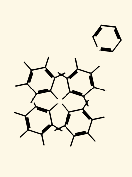 Fc1c(F)c(F)c([B-](c2c(F)c(F)c(F)c(F)c2F)(c2c(F)c(F)c(F)c(F)c2F)c2c(F)c(F)c(F)c(F)c2F)c(F)c1F.c1ccncc1